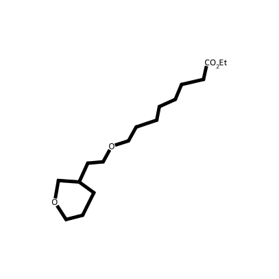 CCOC(=O)CCCCCCCOCCC1CCCOC1